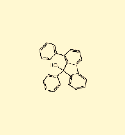 OC1(c2ccccc2)c2ccccc2-c2cccc(-c3ccccc3)c21